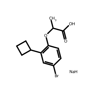 CC(Oc1ccc(Br)cc1C1CCC1)C(=O)O.[NaH]